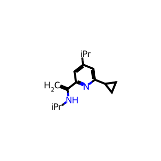 C=C(NC(C)C)c1cc(C(C)C)cc(C2CC2)n1